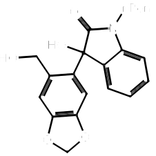 CCCCCN1C(=O)C(O)(c2cc3c(cc2CO)OCO3)c2ccccc21